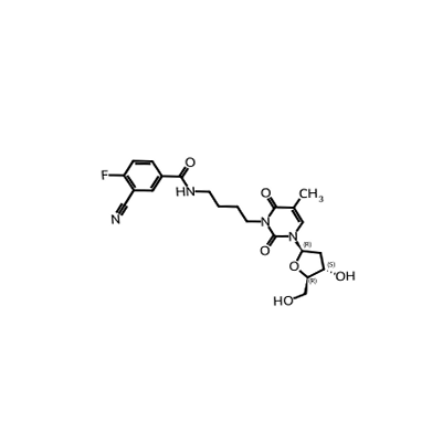 Cc1cn([C@H]2C[C@H](O)[C@@H](CO)O2)c(=O)n(CCCCNC(=O)c2ccc(F)c(C#N)c2)c1=O